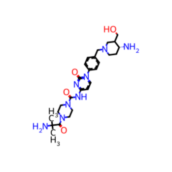 CC(C)(N)C(=O)N1CCN(C(=O)Nc2ccn(-c3ccc(CN4CC[C@@H](N)C(CO)C4)cc3)c(=O)n2)CC1